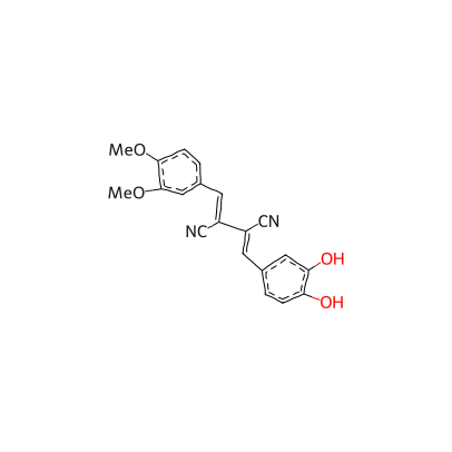 COc1ccc(/C=C(C#N)/C(C#N)=C/c2ccc(O)c(O)c2)cc1OC